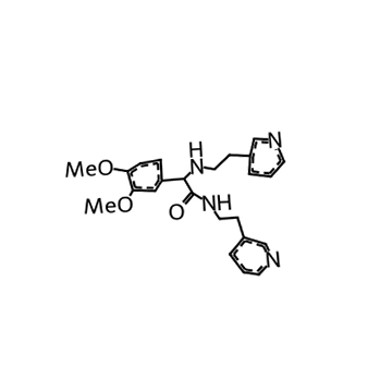 COc1ccc(C(NCCc2cccnc2)C(=O)NCCc2cccnc2)cc1OC